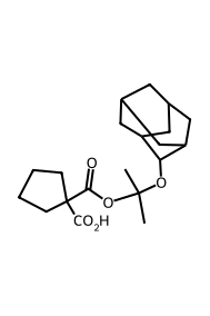 CC(C)(OC(=O)C1(C(=O)O)CCCC1)OC1C2CC3CC(C2)CC1C3